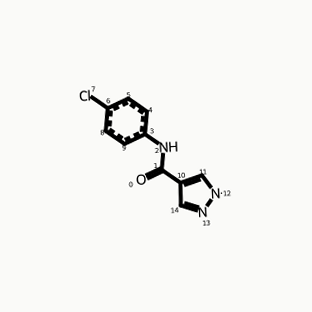 O=C(Nc1ccc(Cl)cc1)C1=C[N]N=C1